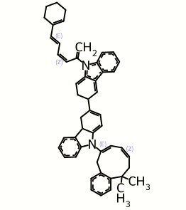 C=C(/C=C\C=C\C1=CCCCC1)n1c2c(c3ccccc31)=CC(C1=CC=C3C(C1)c1ccccc1N3/C1=C/C=C\CC(C)(C)c3ccccc3C1)CC=2